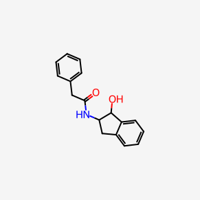 O=C(Cc1ccccc1)NC1Cc2ccccc2C1O